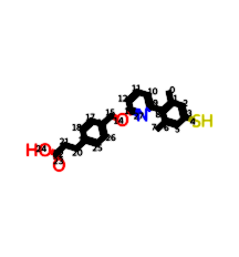 Cc1cc(S)cc(C)c1-c1cccc(OCc2ccc(CCC(=O)O)cc2)n1